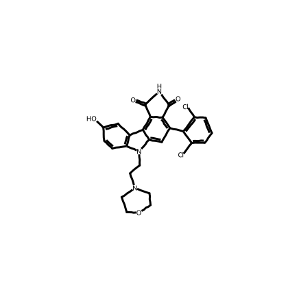 O=C1NC(=O)c2c1c(-c1c(Cl)cccc1Cl)cc1c2c2cc(O)ccc2n1CCN1CCOCC1